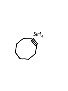 C1#CCCCCCC1.[SiH4]